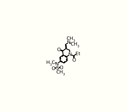 CCC(=O)N1CC(=CN(C)C)C(=O)c2cc(N(C)S(C)(=O)=O)ccc21